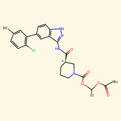 CCC(OC(=O)N1CCC[C@@H](C(=O)Nc2n[nH]c3ccc(-c4cc(C#N)ccc4Cl)cc23)C1)OC(=O)C(C)(C)C